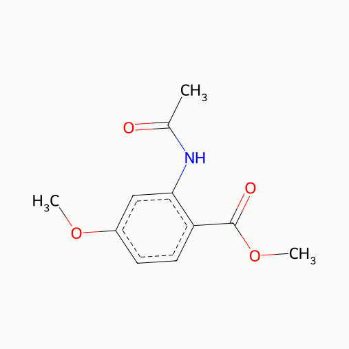 COC(=O)c1ccc(OC)cc1NC(C)=O